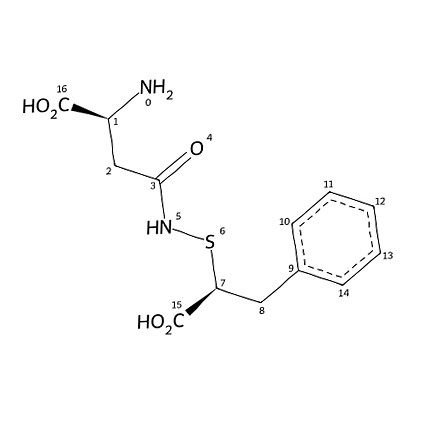 N[C@@H](CC(=O)NS[C@@H](Cc1ccccc1)C(=O)O)C(=O)O